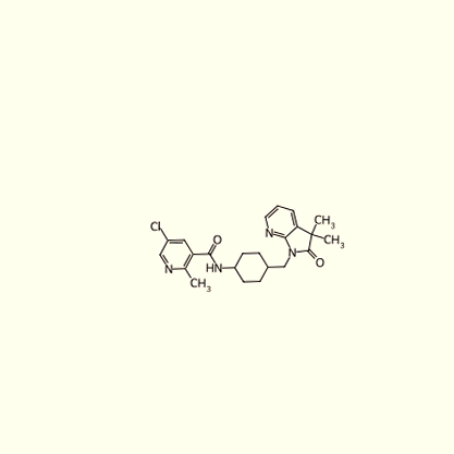 Cc1ncc(Cl)cc1C(=O)NC1CCC(CN2C(=O)C(C)(C)c3cccnc32)CC1